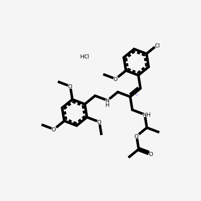 COc1cc(OC)c(CNC/C(=C\c2cc(Cl)ccc2OC)CNC(C)OC(C)=O)c(OC)c1.Cl